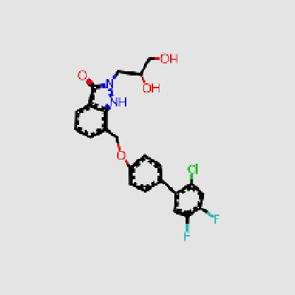 O=c1c2cccc(COc3ccc(-c4cc(F)c(F)cc4Cl)cc3)c2[nH]n1C[C@H](O)CO